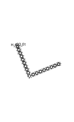 CCOC(C)=O.c1ccccc1.c1ccccc1.c1ccccc1.c1ccccc1.c1ccccc1.c1ccccc1.c1ccccc1.c1ccccc1.c1ccccc1.c1ccccc1.c1ccccc1.c1ccccc1.c1ccccc1.c1ccccc1.c1ccccc1.c1ccccc1.c1ccccc1.c1ccccc1